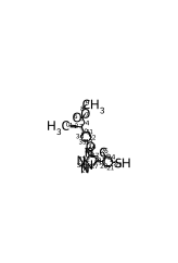 CC#CC(CC(=O)OCC)c1ccc(OCc2cc(-c3ccc(S)cc3C)cn3ncnc23)cc1